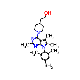 Bc1cc(C)c(-n2c(C)c(C)c3c(N4CCC(CCO)CC4)nc(C)nc32)c(C)c1